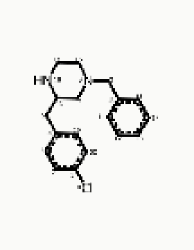 Clc1ccc(CC2CN(Cc3ccccc3)CCN2)cc1